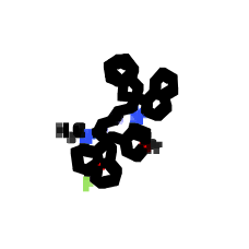 CC(C)CC[N+]1=C(/C=C/C=C2/N(C)c3ccc(F)cc3C2(Cc2ccccc2)Cc2ccccc2)C(Cc2ccccc2)(Cc2ccccc2)c2c1ccc1ccccc21